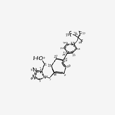 OCc1nncn1CC1=CC=C(c2ccc(C(F)(F)F)cc2)CC1